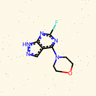 Fc1nc(N2CCOCC2)c2cn[nH]c2n1